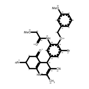 CCCC1CC(=O)C2=C(C1)NC(C)=C(C#N)C2c1cc(Br)c(OCc2cccc(OC)c2)c(NC(=O)COC)c1